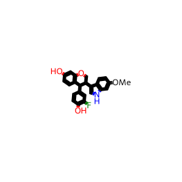 COc1ccc2c(C3COc4cc(O)ccc4C3c3ccc(O)c(F)c3)c[nH]c2c1